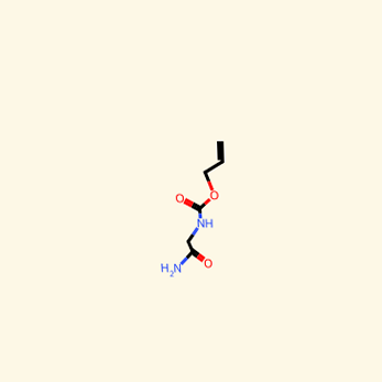 C=CCOC(=O)NCC(N)=O